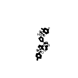 Cc1ccc(S(=O)(=O)n2ccc3c2ncc2nnc([C@@H]4CC[C@H](NS(=O)(=O)c5ccc(F)cc5C)C4)n23)cc1